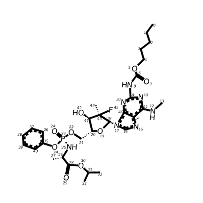 CCCCCOC(=O)Nc1nc(NC)c2ncn([C@@H]3O[C@H](CO[P@@](=O)(N[C@@H](C)C(=O)OC(C)C)Oc4ccccc4)[C@@H](O)[C@@]3(C)F)c2n1